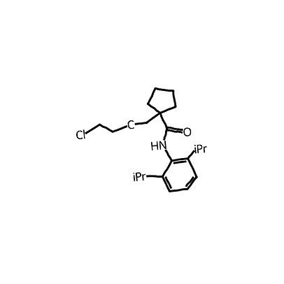 CC(C)c1cccc(C(C)C)c1NC(=O)C1(CCCCCl)CCCC1